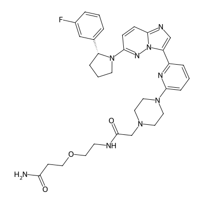 NC(=O)CCOCCNC(=O)CN1CCN(c2cccc(-c3cnc4ccc(N5CCC[C@@H]5c5cccc(F)c5)nn34)n2)CC1